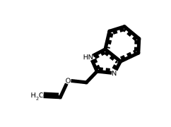 C=COCc1nc2ccccc2[nH]1